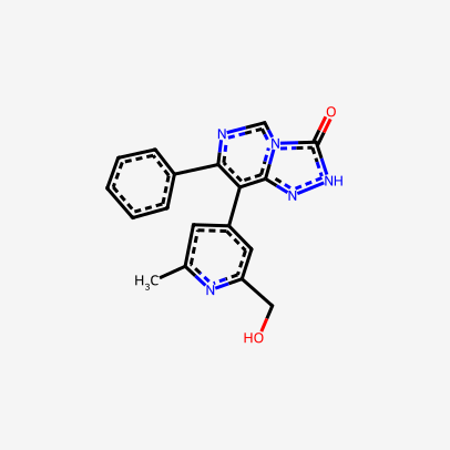 Cc1cc(-c2c(-c3ccccc3)ncn3c(=O)[nH]nc23)cc(CO)n1